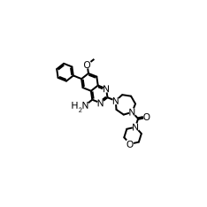 COc1cc2nc(N3CCCN(C(=O)N4CCOCC4)CC3)nc(N)c2cc1-c1ccccc1